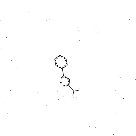 OC(Cl)c1cc(-c2ccccc2)on1